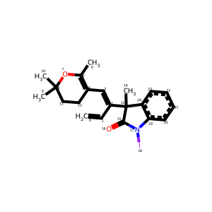 C=C/C(=C\C1=C(C)OC(C)(C)CC1)C1(C)C(=O)N(I)c2ccccc21